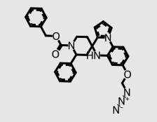 [N-]=[N+]=NCOc1ccc2c(c1)NC1(CCN(C(=O)OCc3ccccc3)C(c3ccccc3)C1)c1cccn1-2